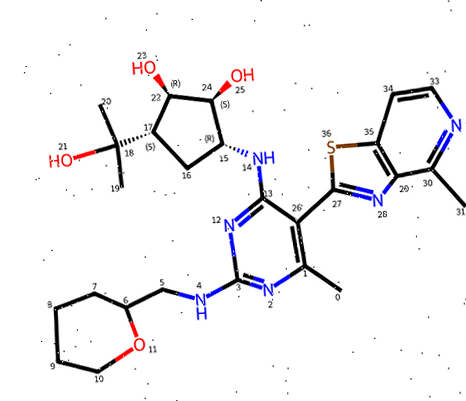 Cc1nc(NCC2CCCCO2)nc(N[C@@H]2C[C@H](C(C)(C)O)[C@@H](O)[C@H]2O)c1-c1nc2c(C)nccc2s1